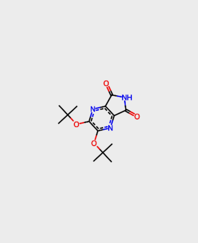 CC(C)(C)Oc1nc2c(nc1OC(C)(C)C)C(=O)NC2=O